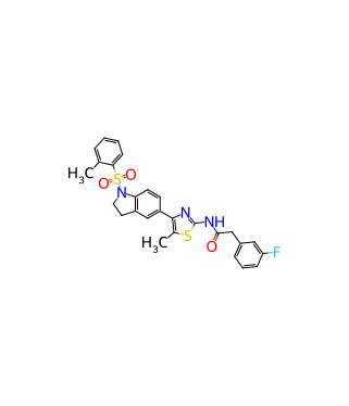 Cc1ccccc1S(=O)(=O)N1CCc2cc(-c3nc(NC(=O)Cc4cccc(F)c4)sc3C)ccc21